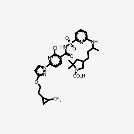 CC(CCC1CN(C(=O)O)C(C)(C)C1)Nc1cccc(S(=O)(=O)NC(=O)c2ccc(-n3ccc(OCCC4CC4C(F)(F)F)n3)nc2Cl)n1